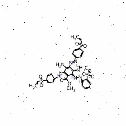 C=CS(=O)(=O)c1ccc(/N=N/C2=C(N)C(/N=N/c3ccc(S(=O)(=O)C=C)cc3)=C(C(=O)OC)C(=N/Nc3ccccc3S(=O)(=O)OC)/C2=N)cc1